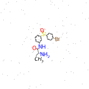 CCC(N)C(=O)Nc1cccc([S+]([O-])c2ccc(Br)cc2)c1